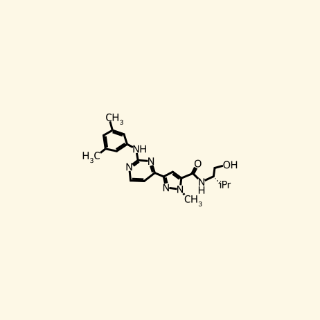 Cc1cc(C)cc(Nc2nccc(-c3cc(C(=O)N[C@H](CO)C(C)C)n(C)n3)n2)c1